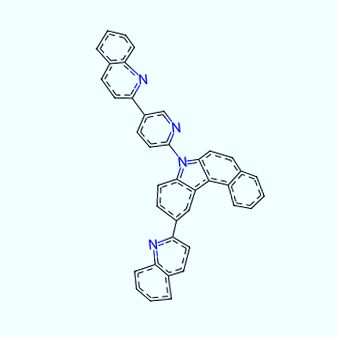 c1ccc2nc(-c3ccc(-n4c5ccc(-c6ccc7ccccc7n6)cc5c5c6ccccc6ccc54)nc3)ccc2c1